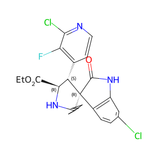 CCOC(=O)[C@@H]1NC2(CCCC2)[C@@]2(C(=O)Nc3cc(Cl)ccc32)[C@H]1c1ccnc(Cl)c1F